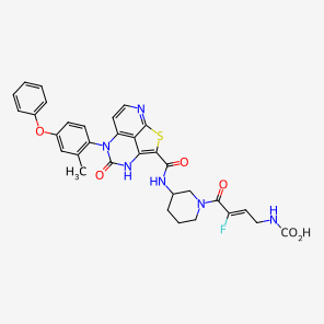 Cc1cc(Oc2ccccc2)ccc1N1C(=O)Nc2c(C(=O)NC3CCCN(C(=O)C(F)=CCNC(=O)O)C3)sc3nccc1c23